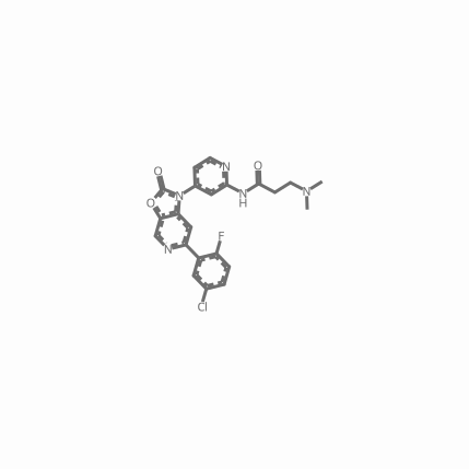 CN(C)CCC(=O)Nc1cc(-n2c(=O)oc3cnc(-c4cc(Cl)ccc4F)cc32)ccn1